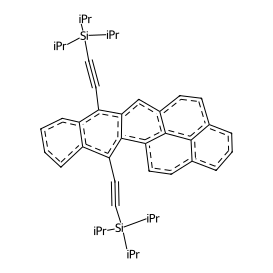 CC(C)[Si](C#Cc1c2ccccc2c(C#C[Si](C(C)C)(C(C)C)C(C)C)c2c1cc1ccc3cccc4ccc2c1c34)(C(C)C)C(C)C